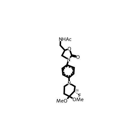 COC1(OC)CCN(c2ccc(N3CC(CNC(C)=O)OC3=O)cc2)C[C@@H]1F